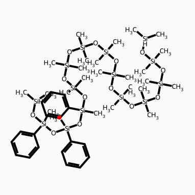 C[SiH](C)O[Si](C)(C)O[Si](C)(C)O[Si](C)(C)O[Si](C)(C)O[Si](C)(C)O[Si](C)(C)O[Si](C)(C)O[Si](C)(C)O[Si](C)(C)O[Si](C)(O[Si](C)(O[Si](C)(O[SiH](C)C)c1ccccc1)c1ccccc1)c1ccccc1